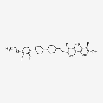 CCOc1ccc(C2CCC(C3CCC(CCc4ccc(-c5ccc(O)c(F)c5F)c(F)c4F)CC3)CC2)c(F)c1F